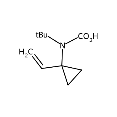 C=CC1(N(C(=O)O)C(C)(C)C)CC1